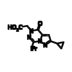 CC(C)c1nn(CC(=O)O)c(=O)c2cc(C3CC3)nn12